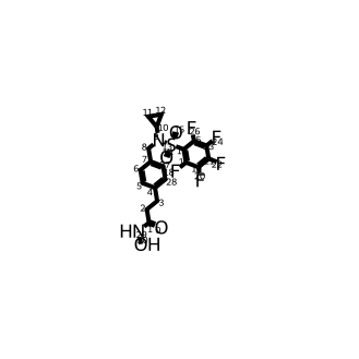 O=C(CCc1ccc(CN(C2CC2)S(=O)(=O)c2c(F)c(F)c(F)c(F)c2F)cc1)NO